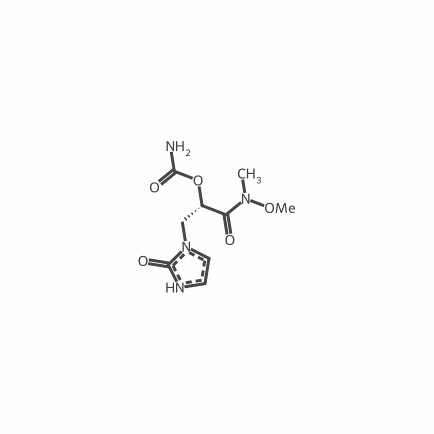 CON(C)C(=O)[C@H](Cn1cc[nH]c1=O)OC(N)=O